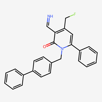 N=Cc1c(CF)cc(-c2ccccc2)n(Cc2ccc(-c3ccccc3)cc2)c1=O